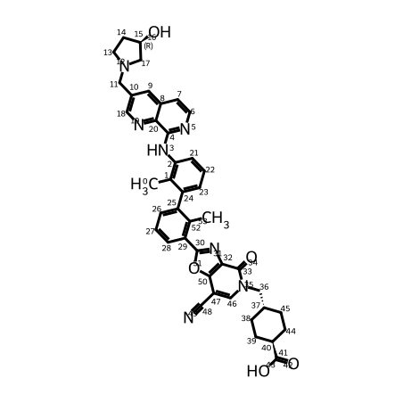 Cc1c(Nc2nccc3cc(CN4CC[C@@H](O)C4)cnc23)cccc1-c1cccc(-c2nc3c(=O)n(C[C@H]4CC[C@H](C(=O)O)CC4)cc(C#N)c3o2)c1C